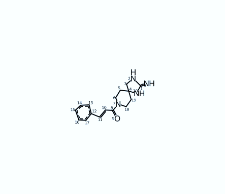 N=C1NCC2(CCN(C(=O)/C=C/c3ccccc3)CC2)N1